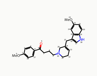 COc1ccc(C(=O)CCCN2CCC=C(Cc3c[nH]c4ccc(OC)cc34)C2)cc1